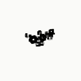 O=C1CN(SC(F)(Cl)Cl)C(=O)N1c1cc(Cl)ccc1Cl